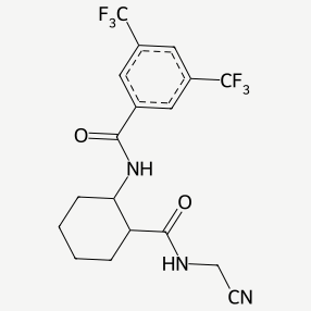 N#CCNC(=O)C1CCCCC1NC(=O)c1cc(C(F)(F)F)cc(C(F)(F)F)c1